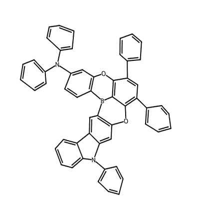 c1ccc(-c2cc(-c3ccccc3)c3c4c2Oc2cc(N(c5ccccc5)c5ccccc5)ccc2B4c2cc4c5ccccc5n(-c5ccccc5)c4cc2O3)cc1